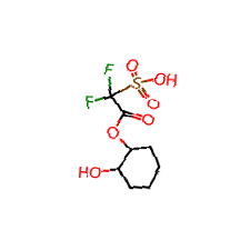 O=C(OC1CCCCC1O)C(F)(F)S(=O)(=O)O